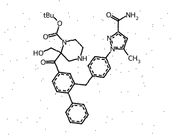 Cc1cc(C(N)=O)nn1-c1ccc(Cc2cc(C(=O)C3(CO)CNCCN3C(=O)OC(C)(C)C)ccc2-c2ccccc2)cc1